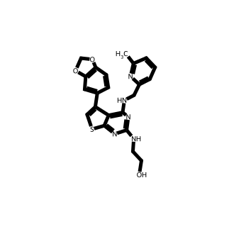 Cc1cccc(CNc2nc(NCCO)nc3scc(-c4ccc5c(c4)OCO5)c23)n1